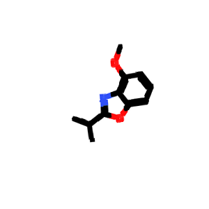 COc1cccc2oc(C(C)C)nc12